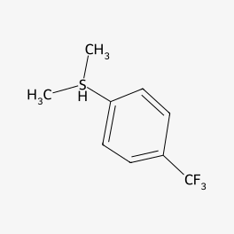 C[SH](C)c1ccc(C(F)(F)F)cc1